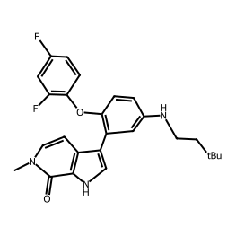 Cn1ccc2c(-c3cc(NCCC(C)(C)C)ccc3Oc3ccc(F)cc3F)c[nH]c2c1=O